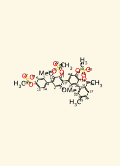 COc1cc(-c2ccc(OS(C)(=O)=O)cc2)c(OC)c(OS(C)(=O)=O)c1-c1ccc(OC(C)c2ccc(C)cc2)c(OS(C)(=O)=O)c1